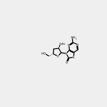 CC(=O)O[C@@H]1C[C@@H](CO)OC1n1c(=O)sc2cnc(N)nc21